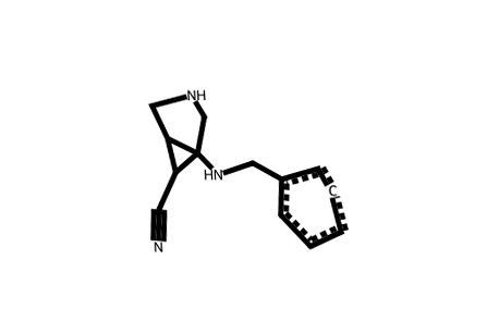 N#CC1C2CNCC12NCc1ccccc1